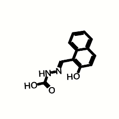 O=C(O)NN=Cc1c(O)ccc2ccccc12